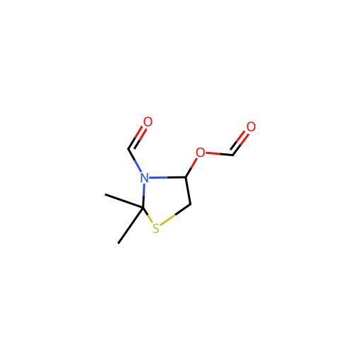 CC1(C)SCC(OC=O)N1C=O